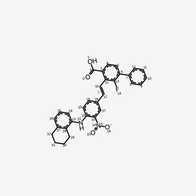 O=C(O)c1ccc(-c2ccccc2)c(F)c1/C=C/c1ccc(Nc2cccc3c2CCCC3)c([N+](=O)[O-])c1